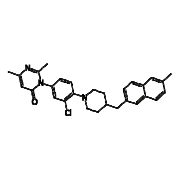 Cc1ccc2cc(CC3CCN(c4ccc(-n5c(C)nc(C)cc5=O)cc4Cl)CC3)ccc2c1